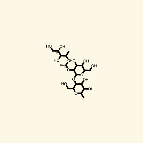 CC1OC(CO)C(OC2OC(CO)C(O)C(O)C2O[C@@H](C)OC(C)C(O)[C@H](O)CO)C(O)C1O